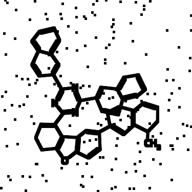 CC1CC=Cc2ccc(-c3ccc4oc5c(c4c3)C(c3nc(-c4ccc6ccccc6c4)nc(-c4ccc6ccccc6c4)n3)=CCC5)cc21